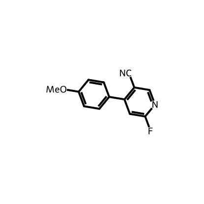 COc1ccc(-c2cc(F)ncc2C#N)cc1